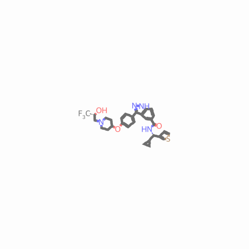 O=C(N[C@H](c1ccsc1)C1CC1)c1ccc2[nH]nc(-c3ccc(OC4CCN(C[C@@H](O)C(F)(F)F)CC4)cc3)c2c1